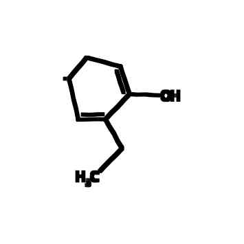 CCC1=C[CH]CC=C1O